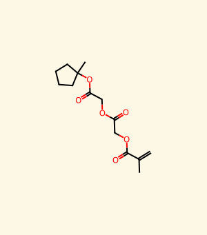 C=C(C)C(=O)OCC(=O)OCC(=O)OC1(C)CCCC1